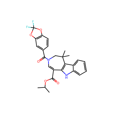 CC(C)OC(=O)C1=CN(C(=O)c2ccc3c(c2)OC(F)(F)O3)CC(C)(C)c2c1[nH]c1ccccc21